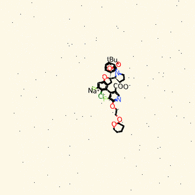 CC(C)(C)OC(=O)N1CCC[C@H]1[C@@]1(c2ccccc2)Cc2c(cc(F)c(Cl)c2-c2c(C(=O)[O-])cnc(OCCOC3CCCCO3)c2F)O1.[Na+]